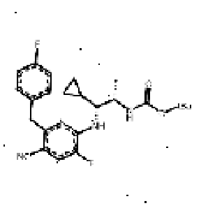 C[C@H](NC(=O)OC(C)(C)C)[C@H](Nc1nc(Cc2ccc(F)cc2)c(C#N)cc1F)C1CC1